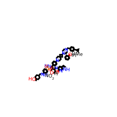 COc1cc(CN2CCN(C3CC4(CCN(c5ccc(C(=O)NS(=O)(=O)c6ccc(NCC7CCC(C)(O)CC7)c([N+](=O)[O-])c6)c(N6c7cc8cc[nH]c8nc7O[C@H]7COCC[C@@H]76)c5)CC4)C3)[C@@H](c3ccccc3OC(C)C)C2)ccc1C1CC1